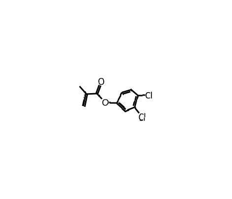 C=C(C)C(=O)Oc1ccc(Cl)c(Cl)c1